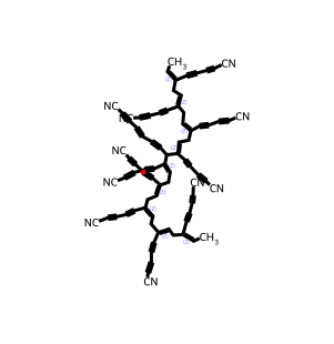 C/C=C(\C#CC#CC#N)C/C=C(\C#CC#CC#N)C/C=C(\C#CC#CC#N)C/C=C(\C#CC#CC#N)C/C=C(\C#CC#CC#N)C(C#CC#CC#CC#N)/C(C#CC#CC#N)=C/C/C(C#CC#CC#N)=C/C/C(C#CC#CC#N)=C/C/C(C#CC#CC#N)=C/C